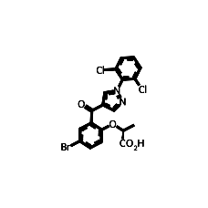 C[C@H](Oc1ccc(Br)cc1C(=O)c1cnn(-c2c(Cl)cccc2Cl)c1)C(=O)O